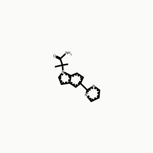 CC(C)(C(N)=O)n1ccc2cc(-c3ncccn3)ccc21